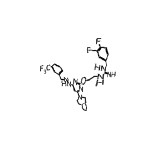 N=C(NCCOc1nc(NN=Cc2cccc(C(F)(F)F)c2)cc(N2CCOCC2)n1)NCc1ccc(F)c(F)c1